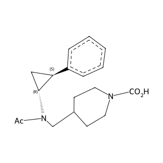 CC(=O)N(CC1CCN(C(=O)O)CC1)[C@@H]1C[C@H]1c1ccccc1